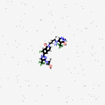 CO[C@@H]1CN(c2nc(-c3cc4ccn(CCC[C@H](C)Nc5cnn(C)c(=O)c5C(F)(F)F)c(=O)c4cc3F)ncc2C(F)(F)F)[C@H]1C